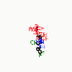 O=P(O)(O)CP(=O)(O)OC[C@H]1O[C@@H](n2ncc3c(N[C@@H]4CCc5cc(F)c(F)cc54)cc(Cl)nc32)[C@H](O)[C@@H]1O